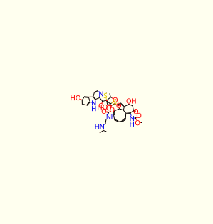 COC(=O)NC1=C2C#C/C=C\C#C[C@H](OC3OC(C)C(SC)(C(=O)c4nccc5c4[nH]c4ccc(O)cc45)C(O)C3OC(=O)NCCNC(C)C)C2/C(=C\CSC(C)=O)[C@@H](O)CC1=O